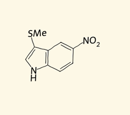 CSc1c[nH]c2ccc([N+](=O)[O-])cc12